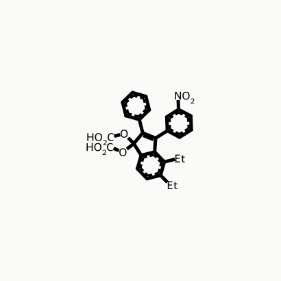 CCc1ccc2c(c1CC)C(c1cccc([N+](=O)[O-])c1)=C(c1ccccc1)C2(OC(=O)O)OC(=O)O